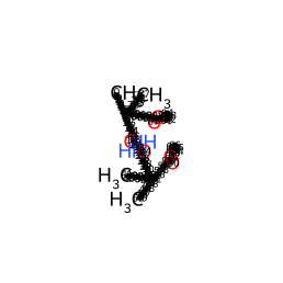 CCCCCCCCC(CCCCCCCCC(=O)NCCNC(=O)CCCCCCCCC(CCCCCCCC)C(CCCCCCCC)CCCCCCCCC(=O)OCc1ccccc1)C(CCCCCCCC)CCCCCCCCC(=O)OCc1ccccc1